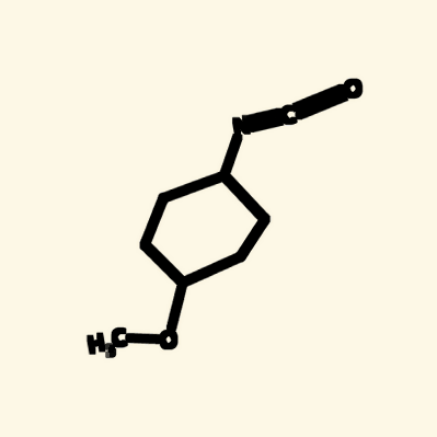 COC1CCC(N=C=O)CC1